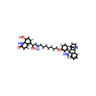 O=C(O)NC(c1ccccc1)(c1cccc(OCCCCCCCNCC(O)c2ccc(O)c3[nH]c(=O)ccc23)c1)C1CN2CCC1CC2